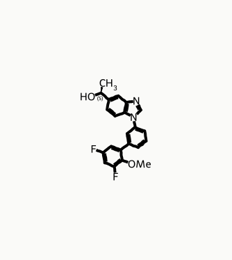 COc1c(F)cc(F)cc1-c1cccc(-n2cnc3cc([C@H](C)O)ccc32)c1